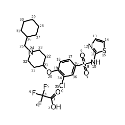 O=C(O)C(F)(F)F.O=S(=O)(Nc1nccs1)c1ccc(OC2CCN(CC3CCCCC3)CC2)c(Cl)c1